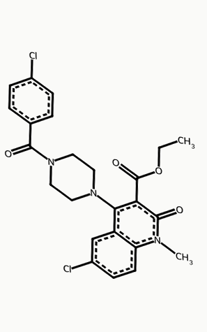 CCOC(=O)c1c(N2CCN(C(=O)c3ccc(Cl)cc3)CC2)c2cc(Cl)ccc2n(C)c1=O